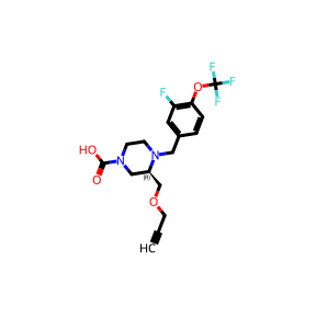 C#CCOC[C@H]1CN(C(=O)O)CCN1Cc1ccc(OC(F)(F)F)c(F)c1